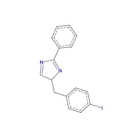 Ic1ccc(CC2C=NC(c3ccccc3)=N2)cc1